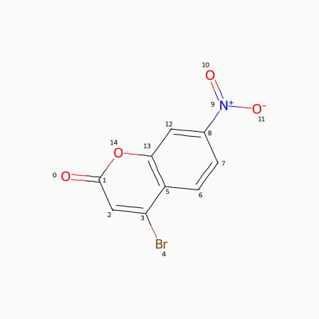 O=c1cc(Br)c2ccc([N+](=O)[O-])cc2o1